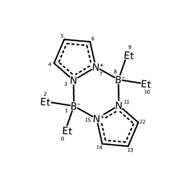 CC[B-]1(CC)n2ccc[n+]2[B-](CC)(CC)n2ccc[n+]21